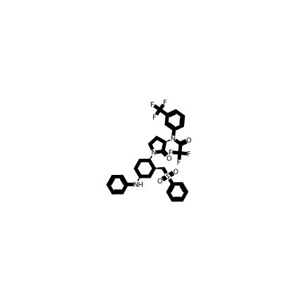 O=C1[C@@H](N(C(=O)C(F)(F)F)c2cccc(C(F)(F)F)c2)CCN1[C@H]1CC[C@@H](Nc2ccccc2)C[C@@H]1CS(=O)(=O)c1ccccc1